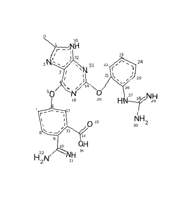 Cc1nc2c(Oc3ccc(C(=N)N)c(C(=O)O)c3)nc(Oc3ccccc3NC(=N)N)nc2[nH]1